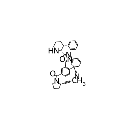 CC#C[C@H]1CCCN1C(=O)c1ccc(C2(C#N)C=CC=CC2)c(-c2nnc([C@@H]3NCCC[C@@H]3c3ccccc3)o2)c1